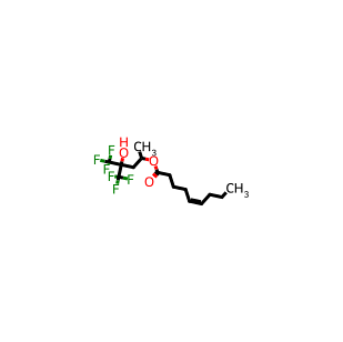 CCC/C=C\CCCC(=O)OC(C)CC(O)(C(F)(F)F)C(F)(F)F